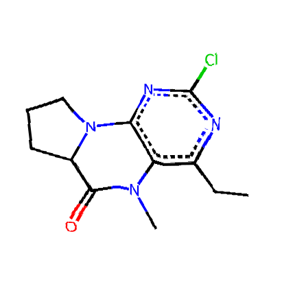 CCc1nc(Cl)nc2c1N(C)C(=O)C1CCCN21